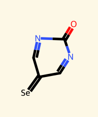 O=C1N=CC(=[Se])C=N1